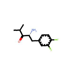 CC(C)C(=O)[C@H](N)Cc1ccc(F)c(F)c1